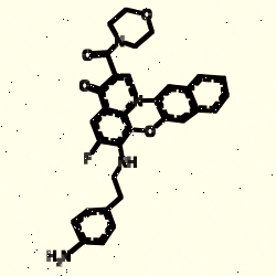 Nc1ccc(CCNc2c(F)cc3c(=O)c(C(=O)N4CCOCC4)cn4c3c2Oc2cc3ccccc3cc2-4)cc1